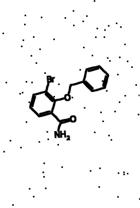 NC(=O)c1cccc(Br)c1OCc1ccccc1